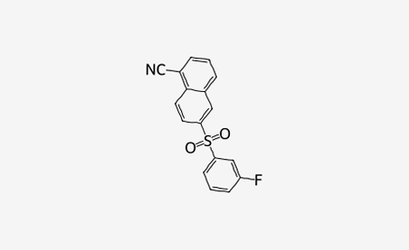 N#Cc1cccc2cc(S(=O)(=O)c3cccc(F)c3)ccc12